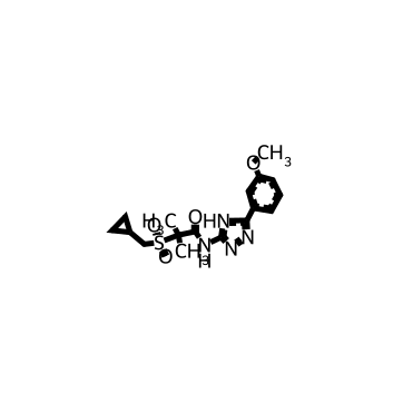 COc1cccc(-c2nnc(NC(=O)C(C)(C)S(=O)(=O)CC3CC3)[nH]2)c1